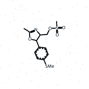 CSc1ccc(C2OC(C)=NC2COS(C)(=O)=O)cc1